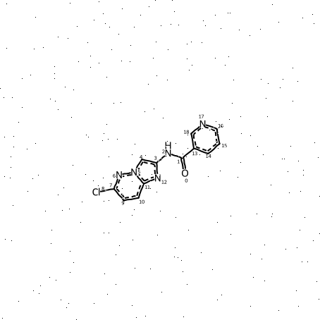 O=C(Nc1cn2nc(Cl)ccc2n1)c1cccnc1